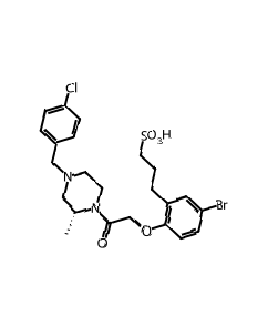 C[C@@H]1CN(Cc2ccc(Cl)cc2)CCN1C(=O)COc1ccc(Br)cc1CCCS(=O)(=O)O